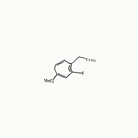 COc1ccc(CC=O)c(F)c1